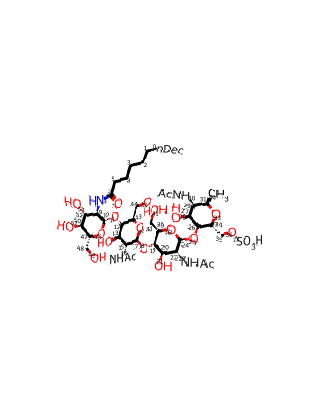 CCCCCCCCCCCCCCCC(=O)N[C@H]1[C@H](O[C@H]2C(O)[C@@H](NC(C)=O)[C@H](O[C@H]3[C@H](O)[C@@H](NC(C)=O)[C@H](O[C@H]4C(O)[C@@H](NC(C)=O)C(C)O[C@@H]4COS(=O)(=O)O)O[C@@H]3CO)O[C@@H]2CO)O[C@H](CO)[C@@H](O)[C@@H]1O